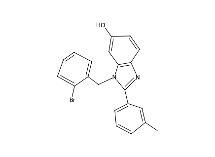 Cc1cccc(-c2nc3ccc(O)cc3n2Cc2ccccc2Br)c1